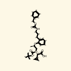 C[C@H](CN(C(=O)OC(C)(C)C)[C@H](C(=O)O)C1CC1)Oc1ccccc1CCCNC(=O)OCc1ccccc1